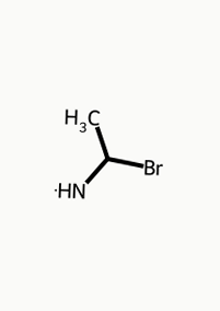 CC([NH])Br